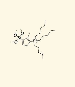 CCCC[CH2][Pt]([CH2]CCCC)([CH2]CCCC)[C]1=C(C)C([Si](OC)(OC)OC)=CC1